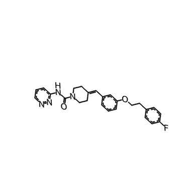 O=C(Nc1cccnn1)N1CCC(=Cc2cccc(OCCc3ccc(F)cc3)c2)CC1